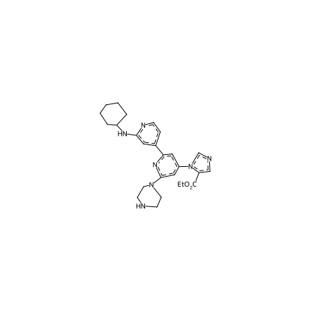 CCOC(=O)c1cncn1-c1cc(-c2ccnc(NC3CCCCC3)c2)nc(N2CCNCC2)c1